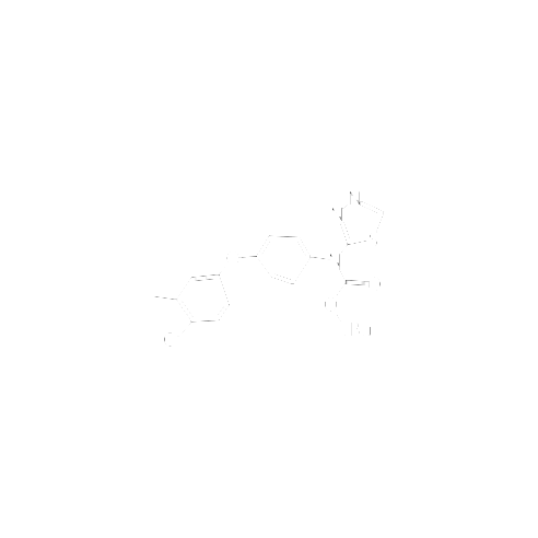 Cc1cc(Oc2ccc(N(C(=O)OC(C)(C)C)c3nncs3)cc2)ccc1Cl